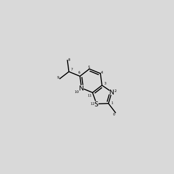 Cc1nc2ccc(C(C)C)nc2s1